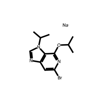 CC(C)Oc1nc(Br)cc2ncn(C(C)C)c12.[Na]